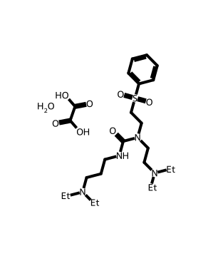 CCN(CC)CCCNC(=O)N(CCN(CC)CC)CCS(=O)(=O)c1ccccc1.O.O=C(O)C(=O)O